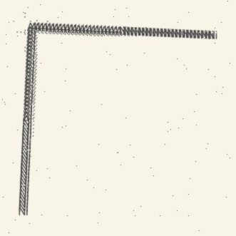 [Al].[Al].[Al].[Al].[Al].[Al].[Al].[Al].[Al].[Al].[Al].[Al].[Al].[Al].[Al].[Al].[Al].[Al].[Al].[Al].[Al].[Al].[Al].[Al].[Al].[Al].[Al].[Al].[Al].[Al].[Al].[Al].[Al].[Al].[Al].[Al].[Al].[Al].[Al].[Al].[Al].[Al].[Al].[Al].[Al].[Al].[Al].[Al].[Al].[Al].[Ni].[Ni].[Ni].[Ni].[Ni].[Ni].[Ni].[Ni].[Ni].[Ni].[Ni].[Ni].[Ni].[Ni].[Ni].[Ni].[Ni].[Ni].[Ni].[Ni].[Ni].[Ni].[Ni].[Ni].[Ni].[Ni].[Ni].[Ni].[Ni].[Ni].[Ni].[Ni].[Ni].[Ni].[Ni].[Ni].[Ni].[Ni].[Ni].[Ni].[Ni].[Ni].[Ni].[Ni].[Ni].[Ni].[Ni].[Ni].[Ni].[Ni]